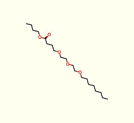 CCCCCCCCOCCOCCOCCCC(=O)OCCCC